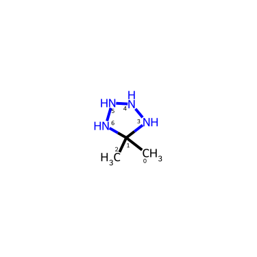 CC1(C)NNNN1